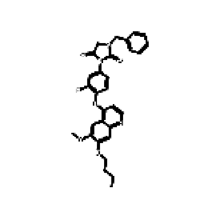 CCCCOc1cc2nccc(Oc3ccc(N4C(=O)CN(Cc5ccccc5)C4=O)cc3F)c2cc1OC